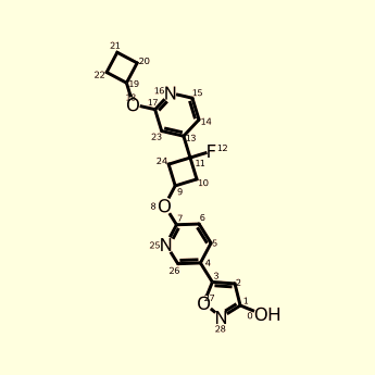 Oc1cc(-c2ccc(OC3CC(F)(c4ccnc(OC5CCC5)c4)C3)nc2)on1